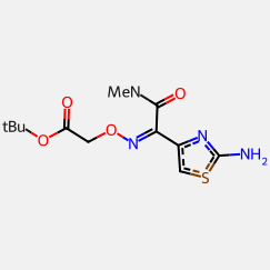 CNC(=O)/C(=N\OCC(=O)OC(C)(C)C)c1csc(N)n1